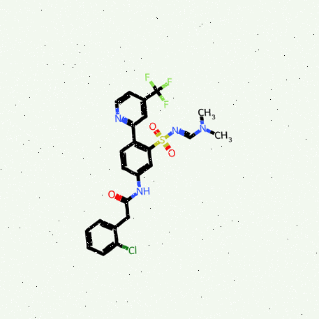 CN(C)C=NS(=O)(=O)c1cc(NC(=O)Cc2ccccc2Cl)ccc1-c1cc(C(F)(F)F)ccn1